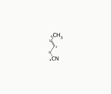 C[C]=CCC#N